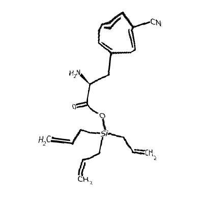 C=CC[Si](CC=C)(CC=C)OC(=O)[C@@H](N)Cc1cccc(C#N)c1